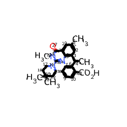 Cc1cc(C(C)c2ccccc2C(=O)O)c2nc(N3CCC(C)(C)CC3)n(C)c(=O)c2c1